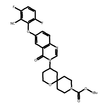 CC(C)(C)OC(=O)N1CCC2(CC1)CC(n1cnc3ccc(Oc4c(F)ccc(F)c4C#N)cc3c1=O)CCO2